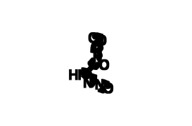 O=c1cc(-c2c[nH]c3ncc(N4CCOCC4)cc23)ccn1Cc1ccc2c(c1)OCCO2